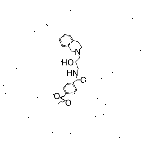 CS(=O)(=O)c1ccc(C(=O)NCC(O)CN2CCc3ccccc3C2)cc1